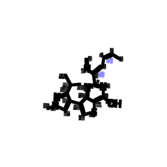 C=N/C(=C\C=C/C)c1nc(O)c2scc(-c3cn(C)nc3C(C)C)c2n1